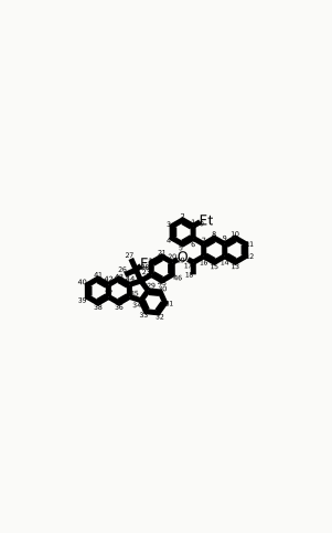 CCc1ccccc1-c1cc2ccccc2cc1C(C)Oc1ccc(C2(C(C)(C)CC)c3ccccc3-c3cc4ccccc4cc32)cc1